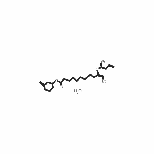 C=CCC(CCC)O/C(=C/CC)CCCCCCCCC(=O)OC1CCCC(=C)C1.O